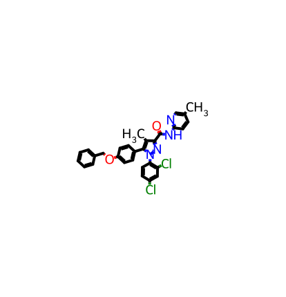 Cc1ccc(NC(=O)c2nn(-c3ccc(Cl)cc3Cl)c(-c3ccc(OCc4ccccc4)cc3)c2C)nc1